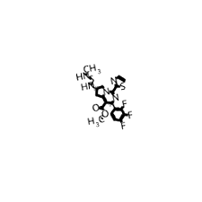 CNSN[C@H]1CC2=C(C(=O)OC)[C@H](c3ccc(F)c(F)c3F)N=C(c3nccs3)N2C1